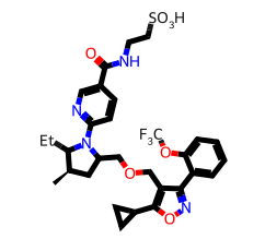 CCC1[C@H](C)CC(COCc2c(-c3ccccc3OC(F)(F)F)noc2C2CC2)N1c1ccc(C(=O)NCCS(=O)(=O)O)cn1